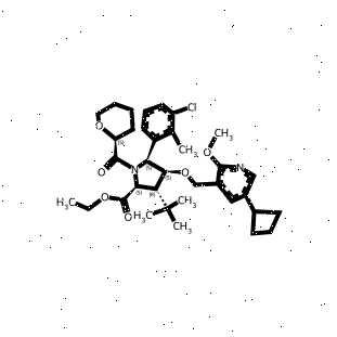 CCOC(=O)[C@@H]1[C@@H](C(C)(C)C)[C@H](OCc2cc(C3CCC3)cnc2OC)[C@H](c2cccc(Cl)c2C)N1C(=O)[C@@H]1CCCCO1